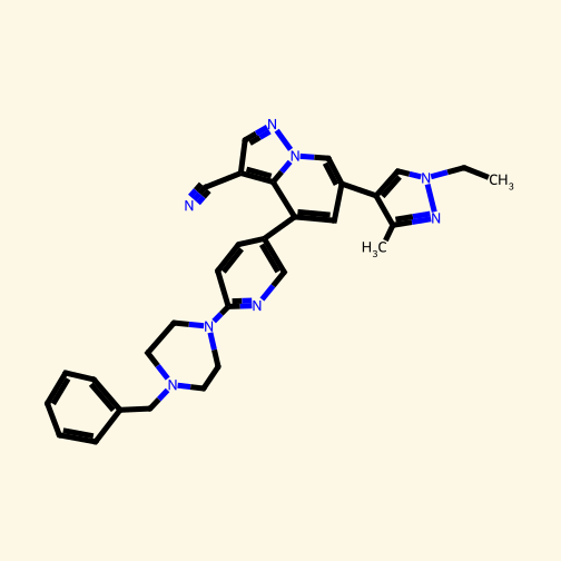 CCn1cc(-c2cc(-c3ccc(N4CCN(Cc5ccccc5)CC4)nc3)c3c(C#N)cnn3c2)c(C)n1